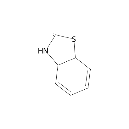 [C]1NC2C=CC=CC2S1